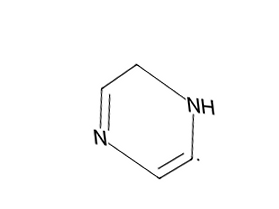 [C]1=CN=CCN1